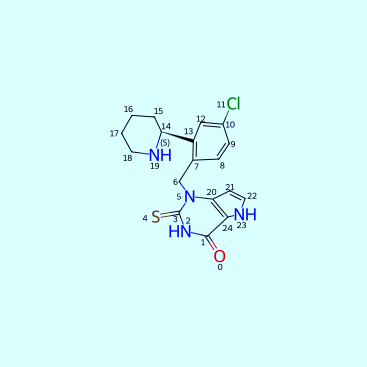 O=c1[nH]c(=S)n(Cc2ccc(Cl)cc2[C@@H]2CCCCN2)c2cc[nH]c12